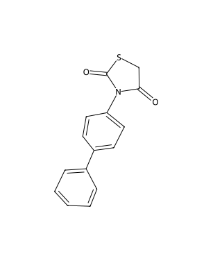 O=C1CSC(=O)N1c1ccc(-c2ccccc2)cc1